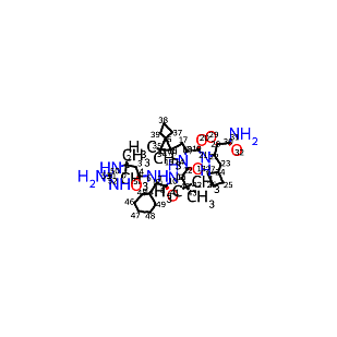 CC(C)(CC(=O)N[C@H](C(=O)N[C@H](C(=O)N1C[C@]2(C[C@H]1C(=O)NC(CC1CCC1)C(=O)C(N)=O)C(C)(C)C21CCC1)C(C)(C)C)C1CCCCC1)NC(=N)N